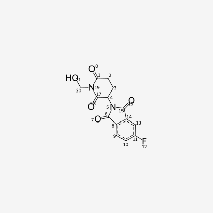 O=C1CCC(N2C(=O)c3ccc(F)cc3C2=O)C(=O)N1CO